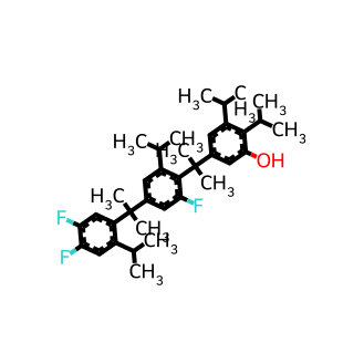 CC(C)c1cc(F)c(F)cc1C(C)(C)c1cc(F)c(C(C)(C)c2cc(O)c(C(C)C)c(C(C)C)c2)c(C(C)C)c1